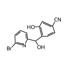 N#Cc1ccc(C(O)c2cccc(Br)n2)c(O)c1